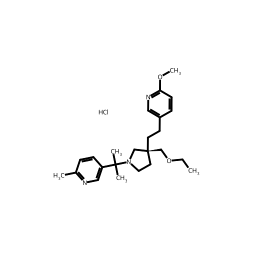 CCOC[C@@]1(CCc2ccc(OC)nc2)CCN(C(C)(C)c2ccc(C)nc2)C1.Cl